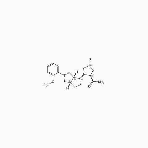 NC(=O)[C@@H]1C[C@@H](F)CN1[C@H]1CC[C@@H]2CN(c3ccccc3OC(F)(F)F)C[C@@H]21